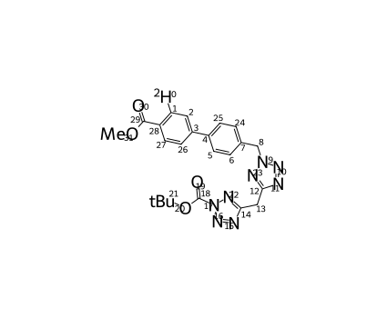 [2H]c1cc(-c2ccc(Cn3nnc(Cc4nnn(C(=O)OC(C)(C)C)n4)n3)cc2)ccc1C(=O)OC